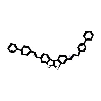 C(=C\c1ccc2c(c1)oc1oc3cc(/C=C/c4ccc(-c5ccccc5)cc4)ccc3c12)/Cc1ccc(-c2ccccc2)cc1